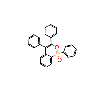 O=P1(c2ccccc2)OC(c2ccccc2)=C(c2ccccc2)c2ccccc21